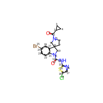 O=C(C1CC1)N1CCC2(C1)CN(C(=O)Nc1ncc(Cl)s1)c1ccc(Br)cc12